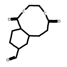 O=CC1CCC2C(=O)CCCCC(=O)CCC2C1